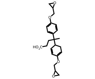 CC(CCC(=O)O)(c1ccc(OCC2CO2)cc1)C1C=CC(OCC2CO2)=CC1